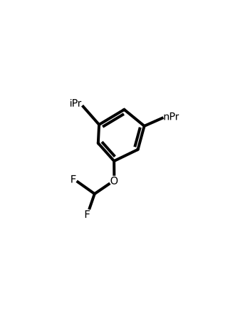 [CH2]C(C)c1cc(CCC)cc(OC(F)F)c1